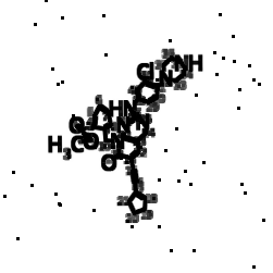 CS(=O)(=O)c1ccccc1Cn1c(=O)c(C#CC2=CCCC2)cc2cnc(Nc3ccc(N4CCNCC4)c(Cl)c3)nc21